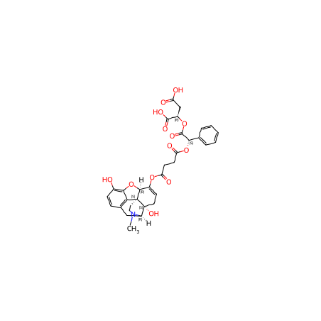 CN1CC[C@]23c4c5ccc(O)c4O[C@H]2C(OC(=O)CCC(=O)O[C@H](C(=O)O[C@H](CC(=O)O)C(=O)O)c2ccccc2)=CC[C@@]3(O)[C@H]1C5